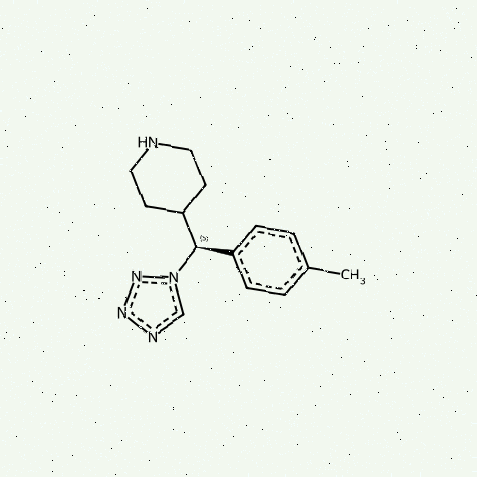 Cc1ccc([C@H](C2CCNCC2)n2cnnn2)cc1